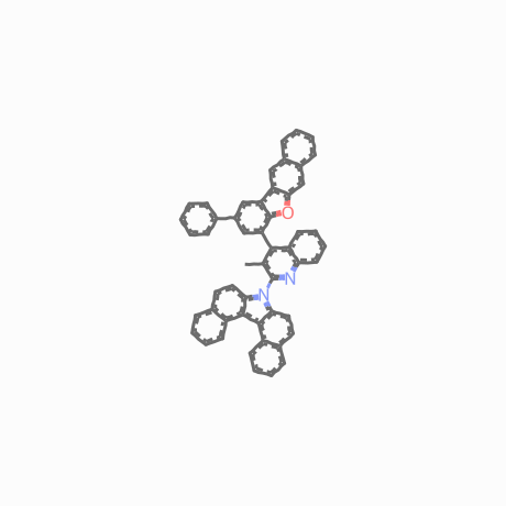 Cc1c(-n2c3ccc4ccccc4c3c3c4ccccc4ccc32)nc2ccccc2c1-c1cc(-c2ccccc2)cc2c1oc1cc3ccccc3cc12